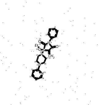 C=C1C(=O)N(c2ccccc2)C(=O)S1(OCC)N1CCN(c2ccccn2)CC1